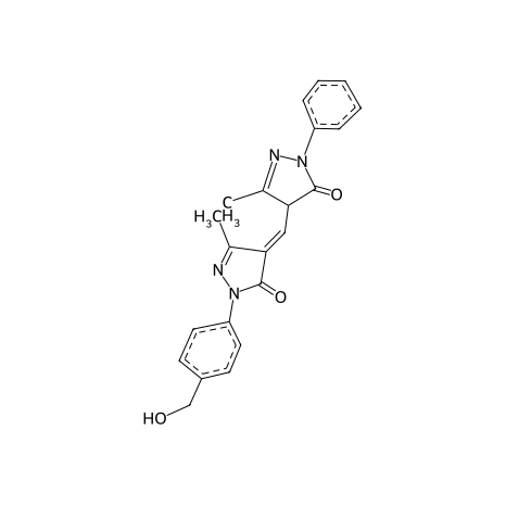 CC1=NN(c2ccc(CO)cc2)C(=O)C1=CC1C(=O)N(c2ccccc2)N=C1C